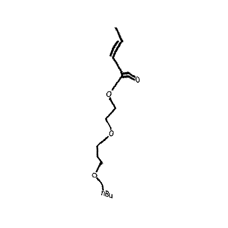 C/C=C/C(=O)OCCOCCOCCCC